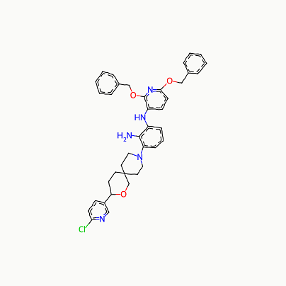 Nc1c(Nc2ccc(OCc3ccccc3)nc2OCc2ccccc2)cccc1N1CCC2(CCC(c3ccc(Cl)nc3)OC2)CC1